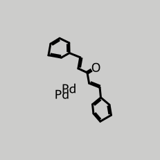 O=C(C=Cc1ccccc1)C=Cc1ccccc1.[Pd].[Pd]